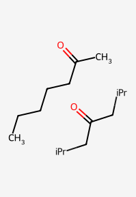 CC(C)CC(=O)CC(C)C.CCCCCC(C)=O